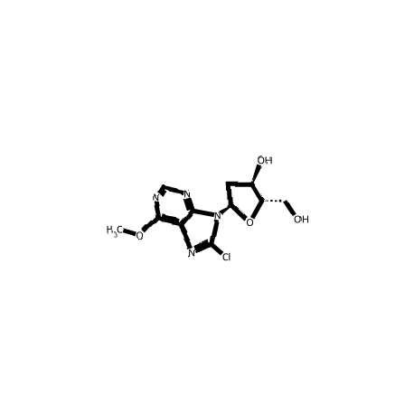 COc1ncnc2c1nc(Cl)n2[C@H]1C[C@@H](O)[C@H](CO)O1